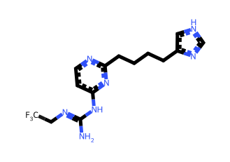 NC(=NCC(F)(F)F)Nc1ccnc(CCCCc2c[nH]cn2)n1